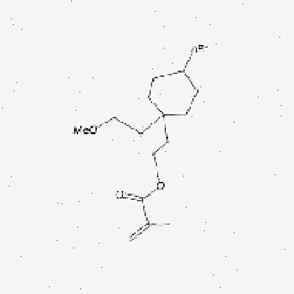 C=C(C)C(=O)OCCC1(CCOC)CCC(CCC)CC1